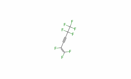 FC(F)=C(F)C#CC(F)(F)C(F)(F)F